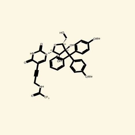 COc1ccc(C(c2ccccc2)(c2ccc(OC)cc2)[C@@]2(O)[C@@H](CO)O[C@@H](n3cc(C#CCNC(=O)C(F)(F)F)c(=O)[nH]c3=O)[C@@H]2O)cc1